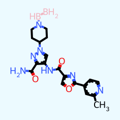 BBN1CCC(n2cc(NC(=O)c3coc(-c4ccnc(C)c4)n3)c(C(N)=O)n2)CC1